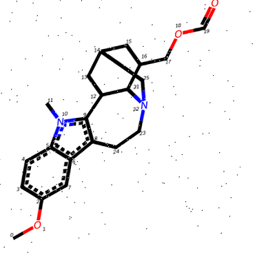 COc1ccc2c(c1)c1c(n2C)C2CC3CC(COC=O)C2N(CC1)C3